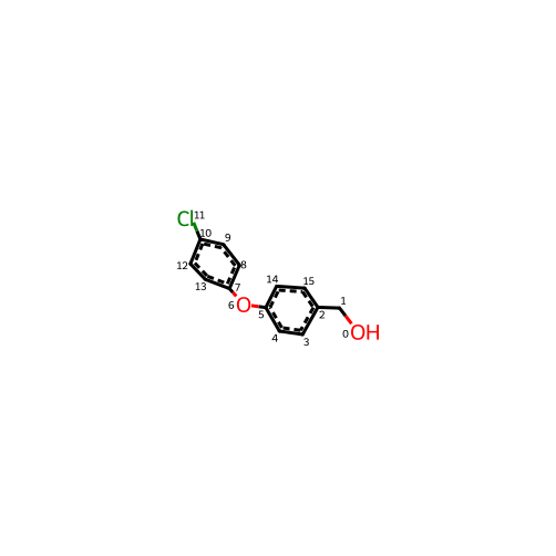 OCc1ccc(Oc2ccc(Cl)cc2)cc1